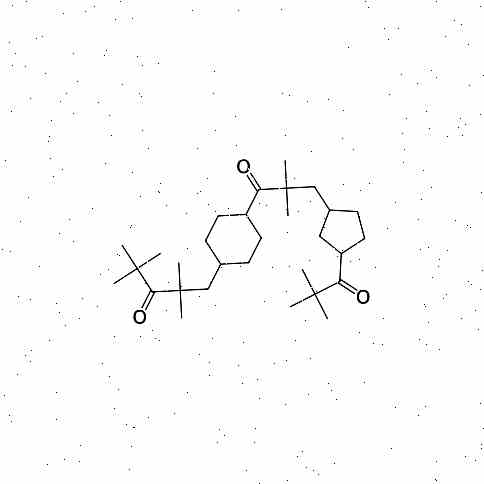 CC(C)(C)C(=O)C1CCC(CC(C)(C)C(=O)C2CCC(CC(C)(C)C(=O)C(C)(C)C)CC2)C1